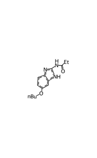 CCCCOc1ccc2nc(NC(=O)CC)[nH]c2c1